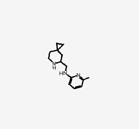 Cc1cccc(NCC2CC3(CCN2)CC3)n1